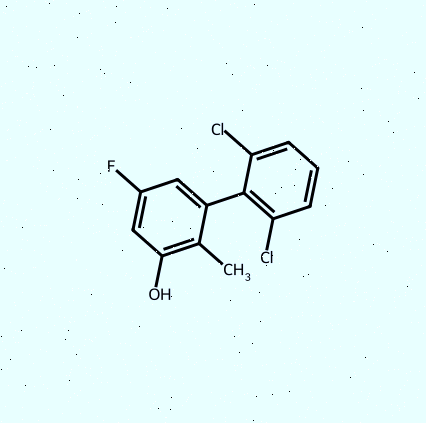 Cc1c(O)cc(F)cc1-c1c(Cl)cccc1Cl